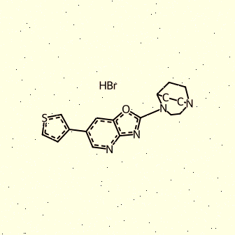 Br.c1cc(-c2cnc3nc(N4CCN5CCC4CC5)oc3c2)cs1